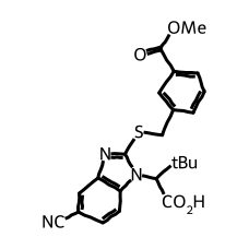 COC(=O)c1cccc(CSc2nc3cc(C#N)ccc3n2C(C(=O)O)C(C)(C)C)c1